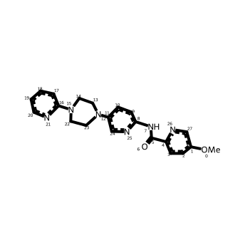 COc1ccc(C(=O)Nc2ccc(N3CCN(c4ccccn4)CC3)cn2)nc1